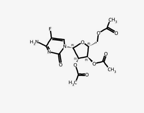 CC(=O)OC[C@H]1O[C@@H](n2cc(F)c(N)nc2=O)[C@@H](OC(C)=O)[C@@H]1OC(C)=O